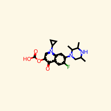 CC1CN(c2cc3c(cc2F)c(=O)c(OC(=O)O)cn3C2CC2)C(C)C(C)N1